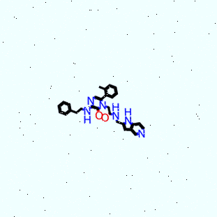 Cc1ccccc1-c1cnc(NCCc2ccccc2)c(=O)n1CC(=O)NCc1cc2cnccc2[nH]1